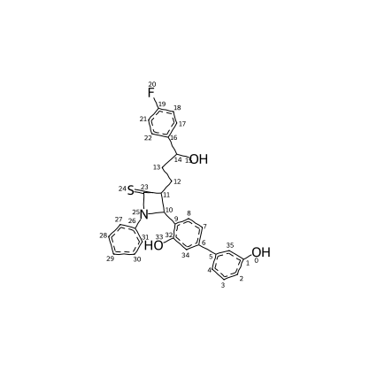 Oc1cccc(-c2ccc(C3C(CCC(O)c4ccc(F)cc4)C(=S)N3c3ccccc3)c(O)c2)c1